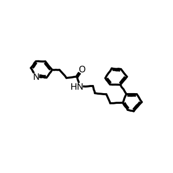 O=C(CCc1cccnc1)NCCCCc1ccccc1-c1ccccc1